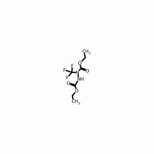 CCOC(=O)NN(C(=O)OCC)C(F)(F)F